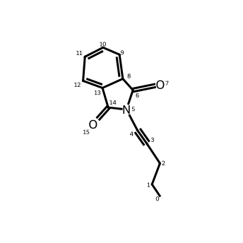 CCCC#CN1C(=O)c2ccccc2C1=O